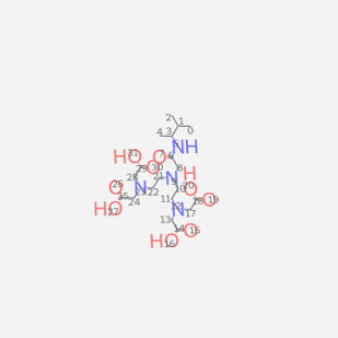 CC(C)C(C)NC(=O)CN(CCN(CC(=O)O)CC(=O)O)CCN(CC(=O)O)CC(=O)O